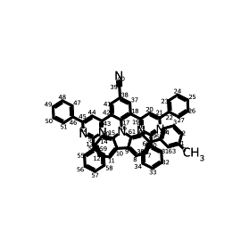 Cc1cccc(-c2ccc3c4ccccc4n(-c4c(-c5cc(-c6ccccc6)nc(-c6ccccc6)n5)cc(C#N)cc4-c4cc(-c5ccccc5)nc(-c5ccccc5)n4)c3c2)c1